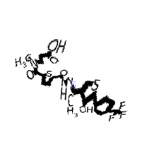 C/C(=N\NC(=O)c1ccc(C(=O)N(C)CCC(=O)O)s1)c1csc(-c2ccc(C(F)(F)F)cc2)c1O